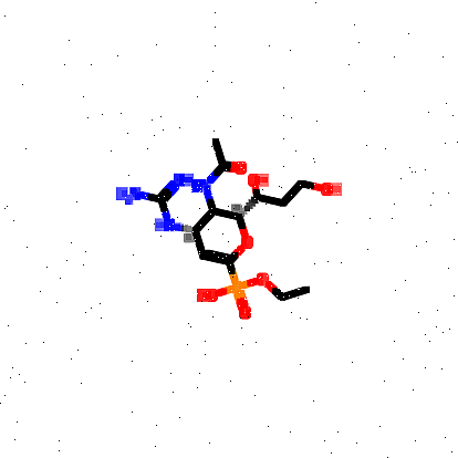 CCOP(=O)(O)C1=C[C@H](NC(=N)N)C(NC(C)=O)[C@H](C(O)CCO)O1